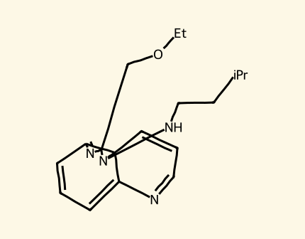 CCOCC1N=C2C=CC=C3N=CC=CC32N1NCCC(C)C